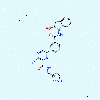 Nc1ncc(-c2cccc(C(=O)N[C@@H]3c4ccccc4C[C@@H]3O)c2)nc1C(=O)NC[C@H]1CCNC1